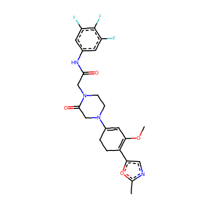 COC1=C(c2cnc(C)o2)CCC(N2CCN(CC(=O)Nc3cc(F)c(F)c(F)c3)C(=O)C2)=C1